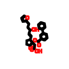 O=C(O)CC1(OC(=O)c2cccc(-c3ccccc3)c2)C(O)CCC1C=CC(O)CCc1ccco1